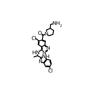 CC(Nc1ncnc2cc(C(=O)N3CCCC(CN)C3)c(Cl)cc12)c1nc2cc(Cl)ccc2[nH]1